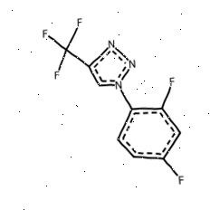 Fc1ccc(-n2cc(C(F)(F)F)nn2)c(F)c1